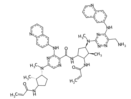 C=CC(=O)NC1CC[C@@H](N(C)c2cnc(C(=O)NC3C[C@@H](N(C)c4nnc(CN)c(Nc5ccc6ncccc6c5)n4)[C@@H](C)C3NC(=O)C=C)c(Nc3ccc4ncccc4c3)n2)[C@H]1C